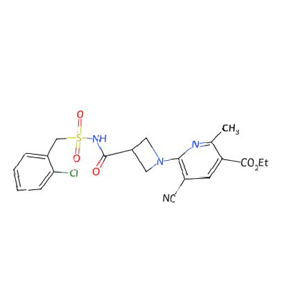 CCOC(=O)c1cc(C#N)c(N2CC(C(=O)NS(=O)(=O)Cc3ccccc3Cl)C2)nc1C